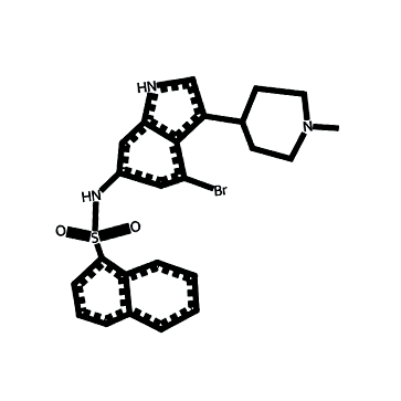 CN1CCC(c2c[nH]c3cc(NS(=O)(=O)c4cccc5ccccc45)cc(Br)c23)CC1